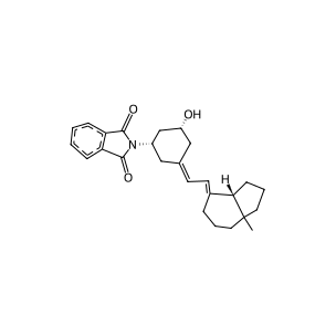 CC12CCC/C(=C\C=C3/C[C@@H](O)C[C@@H](N4C(=O)c5ccccc5C4=O)C3)[C@@H]1CCC2